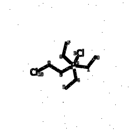 CCP(Cl)(CC)(CC)CCCl